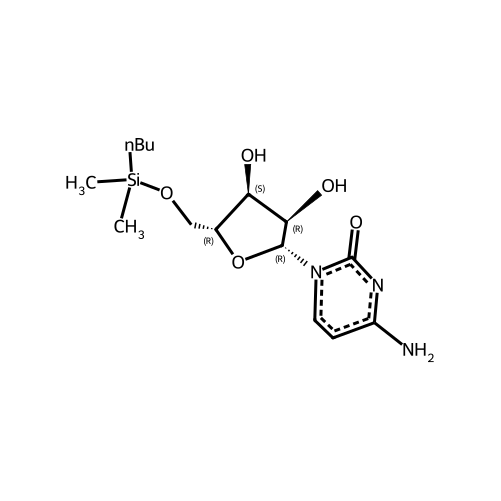 CCCC[Si](C)(C)OC[C@H]1O[C@@H](n2ccc(N)nc2=O)[C@H](O)[C@@H]1O